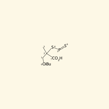 CC(C)COCC(C)(SP=S)C(=O)O